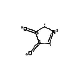 O=C1[C]=NCC1=O